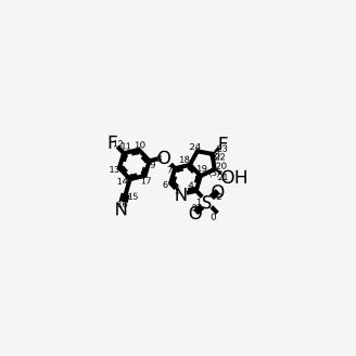 CS(=O)(=O)c1ncc(Oc2cc(F)cc(C#N)c2)c2c1[C@H](O)[C@H](F)C2